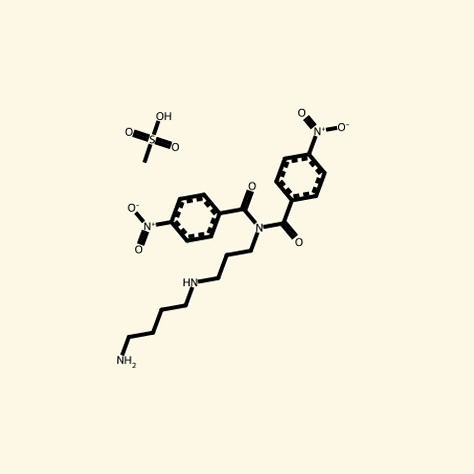 CS(=O)(=O)O.NCCCCNCCCN(C(=O)c1ccc([N+](=O)[O-])cc1)C(=O)c1ccc([N+](=O)[O-])cc1